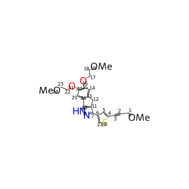 COCC#Cc1cc(-c2n[nH]c3c2Cc2cc(OCCOC)c(OCCOC)cc2-3)cs1